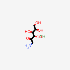 Cl.NCC(=O)C(O)C(O)C(O)CO